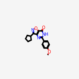 COc1ccc(-c2nc3c(C4CCCC4)noc3c(=O)[nH]2)cc1